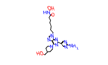 Nc1ncc(-c2nc(N3CCC(CO)CC3)c3ncn(CCCCCCC(=O)NO)c3n2)cn1